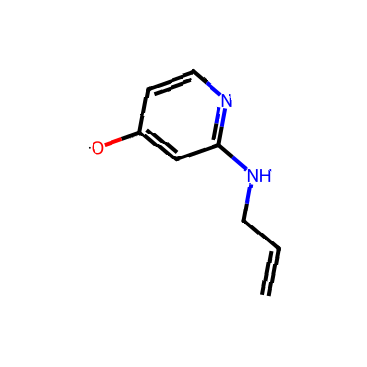 C=CCNc1cc([O])ccn1